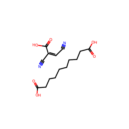 N#CC=C(C#N)C(=O)O.O=C(O)CCCCCCCCC(=O)O